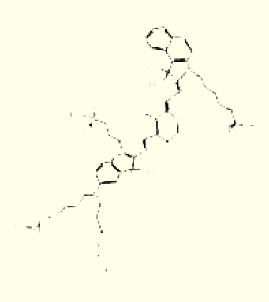 CC1(C)C(/C=C/C2=C(Cl)C(=C/C=C3/N(CCCCCC(=O)O)c4ccc5ccccc5c4C3(C)C)/CCC2)=[N+](CCCS(=O)(=O)O)c2ccc(N(CCCSOOO)CCCSOOO)cc21